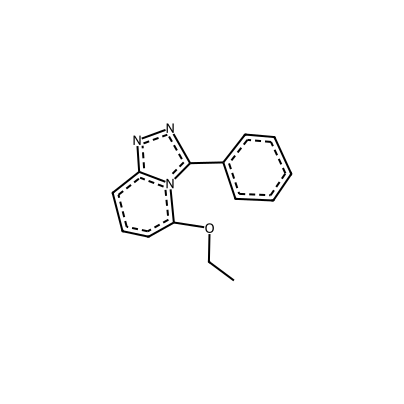 CCOc1cccc2nnc(-c3ccccc3)n12